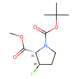 COC(=O)[C@H]1[C@H](F)CCN1C(=O)OC(C)(C)C